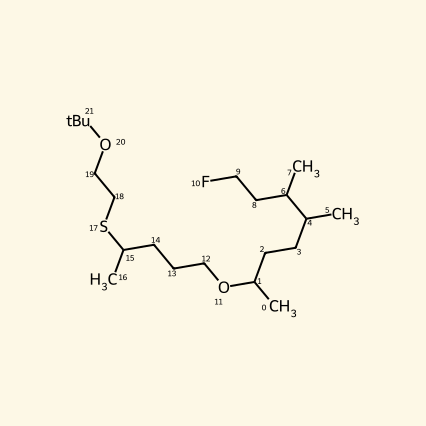 CC(CCC(C)C(C)CCF)OCCCC(C)SCCOC(C)(C)C